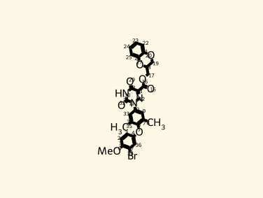 COc1ccc(Oc2c(C)cc(-n3nc(C(=O)OCC4COc5ccccc5O4)c(=O)[nH]c3=O)cc2C)cc1Br